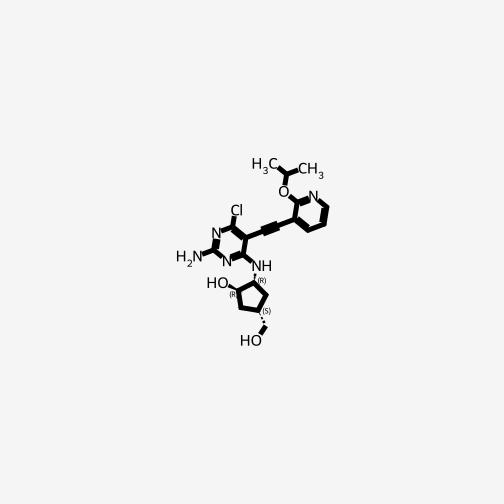 CC(C)Oc1ncccc1C#Cc1c(Cl)nc(N)nc1N[C@@H]1C[C@H](CO)C[C@H]1O